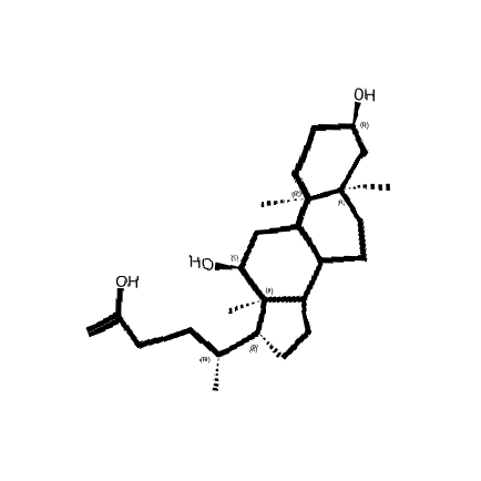 C=C(O)CC[C@@H](C)[C@H]1CCC2C3CC[C@]4(C)C[C@H](O)CC[C@]4(C)C3C[C@H](O)[C@@]21C